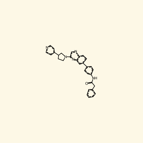 O=C(Cc1ccccc1)Nc1ccc(-c2ccc3ncc(N4CCC(c5ccncc5)C4)nc3c2)cc1